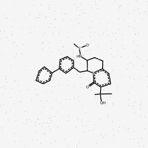 C[S+]([O-])NC1CCc2ccc(C(C)(C)O)c(=O)n2C1Cc1cccc(-c2ccccc2)c1